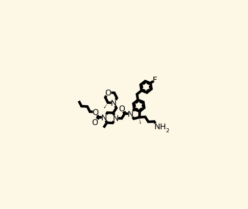 CCCCOC(=O)N1CC(CN2CCOC[C@H]2C)N(CC(=O)N2C[C@](C)(CCCN)c3ccc(Cc4ccc(F)cc4)cc32)CC1C